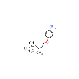 CC(CCOc1ccc(N)cc1)CC(C)(C)C